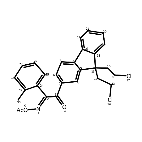 CC(=O)O/N=C(/C(=O)c1ccc2c(c1)C(CCCl)(CCCl)c1ccccc1-2)c1ccccc1C